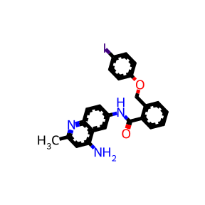 Cc1cc(N)c2cc(NC(=O)c3ccccc3COc3ccc(I)cc3)ccc2n1